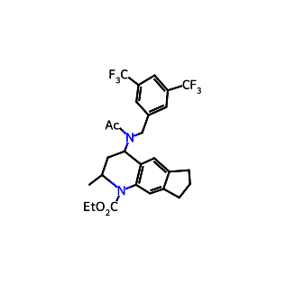 CCOC(=O)N1c2cc3c(cc2C(N(Cc2cc(C(F)(F)F)cc(C(F)(F)F)c2)C(C)=O)CC1C)CCC3